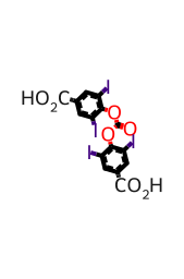 O=C(Oc1c(I)cc(C(=O)O)cc1I)Oc1c(I)cc(C(=O)O)cc1I